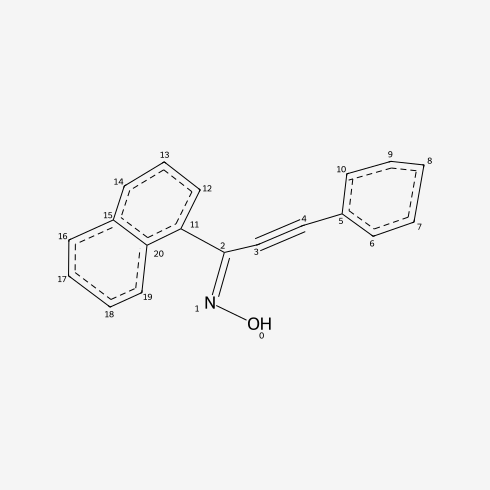 ON=C(C#Cc1ccccc1)c1cccc2ccccc12